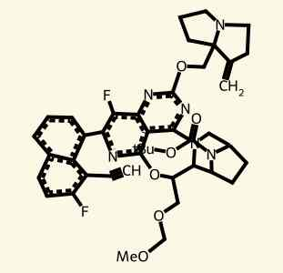 C#Cc1c(F)ccc2cccc(-c3nc4c5c(nc(OCC67CCCN6CCC7=C)nc5c3F)N3CC5CCC(C3C(COCOC)O4)N5C(=O)OC(C)(C)C)c12